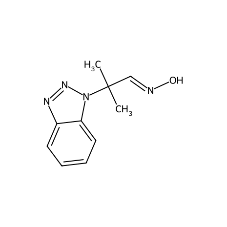 CC(C)(C=NO)n1nnc2ccccc21